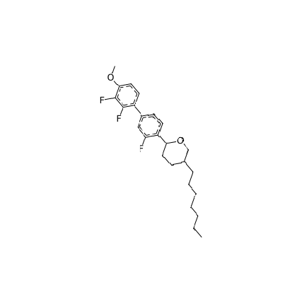 CCCCCCCC1CCC(c2ccc(-c3ccc(OC)c(F)c3F)cc2F)OC1